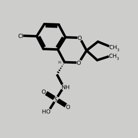 CCC1(CC)Oc2ccc(Cl)cc2[C@@H](CNS(=O)(=O)O)O1